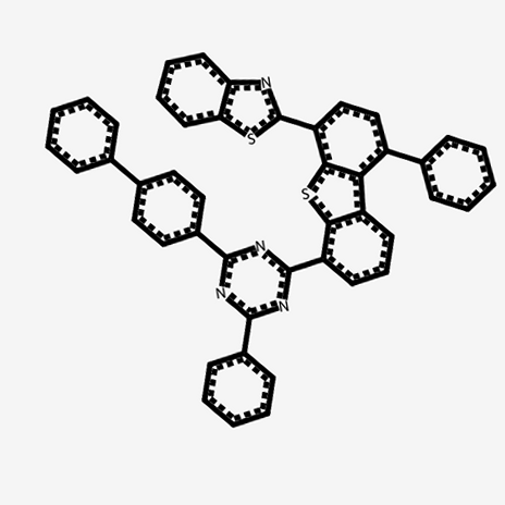 c1ccc(-c2ccc(-c3nc(-c4ccccc4)nc(-c4cccc5c4sc4c(-c6nc7ccccc7s6)ccc(-c6ccccc6)c45)n3)cc2)cc1